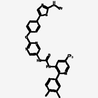 Cc1ccc(-c2ncc(C(F)(F)F)cc2NC(=O)Nc2cnc(Oc3ccc(-c4cnc(NC(C)C)s4)cc3)nc2)cc1C